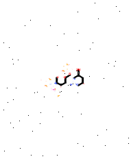 O=C(O)C1C[C@@H](O)CN(C[C@H]2C(COS(=O)(=O)O)OCC(NS(=O)(=O)O)[C@@H]2OS(=O)(=O)O)C1